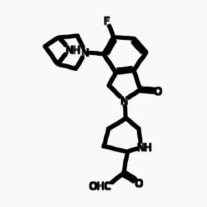 O=CC(=O)C1CCC(N2Cc3c(ccc(F)c3N3CC4CC(C3)N4)C2=O)CN1